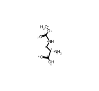 COC(=O)NC[C@H](N)C(=O)O